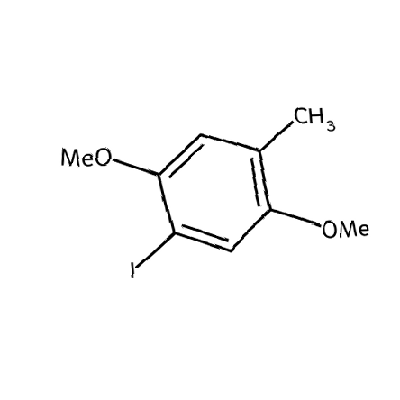 COc1cc(I)c(OC)cc1C